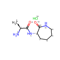 C[C@H](N)C(=O)N[C@H]1CCCCNC1=O.Cl